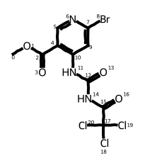 COC(=O)c1cnc(Br)cc1NC(=O)NC(=O)C(Cl)(Cl)Cl